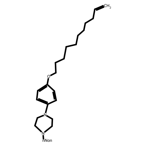 C=CCCCCCCCCCOc1ccc(N2CCN(CCCCCCCCC)CC2)cc1